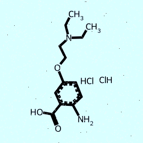 CCN(CC)CCOc1ccc(N)c(C(=O)O)c1.Cl.Cl